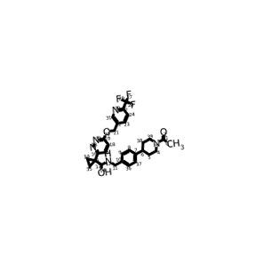 CC(=O)N1CCC(c2ccc(CNC(O)C3(c4ccc(OCc5ccc(C(F)(F)F)nc5)nn4)CC3)cc2)CC1